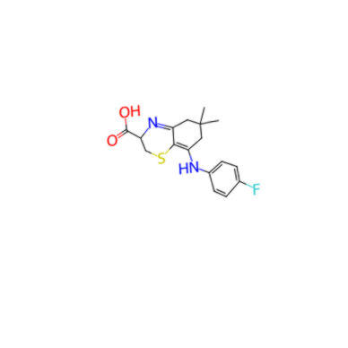 CC1(C)CC2=NC(C(=O)O)CSC2=C(Nc2ccc(F)cc2)C1